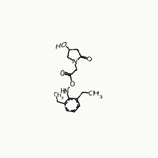 CCc1cccc(CC)c1NOC(=O)CN1CC(O)CC1=O